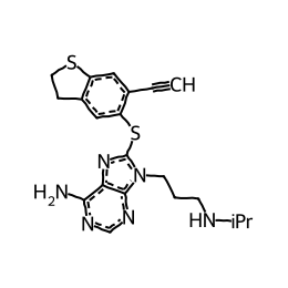 C#Cc1cc2c(cc1Sc1nc3c(N)ncnc3n1CCCNC(C)C)CCS2